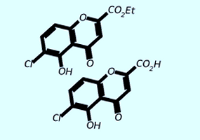 CCOC(=O)c1cc(=O)c2c(O)c(Cl)ccc2o1.O=C(O)c1cc(=O)c2c(O)c(Cl)ccc2o1